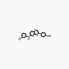 Oc1ccc(-c2cnc3ccc(Nc4cccc(Cl)c4)nc3n2)cc1